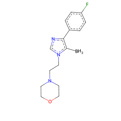 Bc1c(-c2ccc(F)cc2)ncn1CCN1CCOCC1